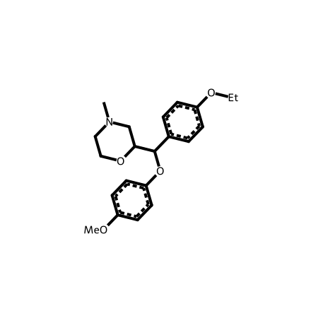 CCOc1ccc(C(Oc2ccc(OC)cc2)C2CN(C)CCO2)cc1